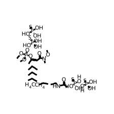 C.C.CCC.CCC.CCC.CCC.CCNC(C)=O.CON(C)C(=O)C=C(C)OP(=O)(OC)OC.OP(O)(O)=S.OP(O)(O)=S.OP(O)(O)=S.OP(O)(O)=S